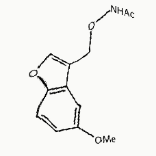 COc1ccc2occ(CONC(C)=O)c2c1